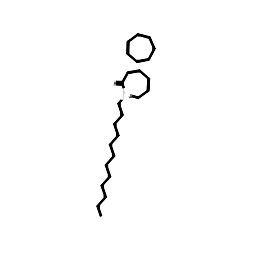 C1CCCCCC1.CCCCCCCCCCCCN1CCCCCC1=O